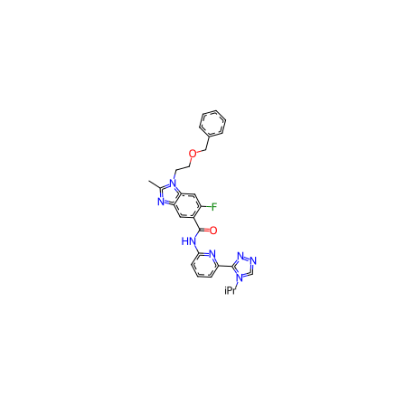 Cc1nc2cc(C(=O)Nc3cccc(-c4nncn4C(C)C)n3)c(F)cc2n1CCOCc1ccccc1